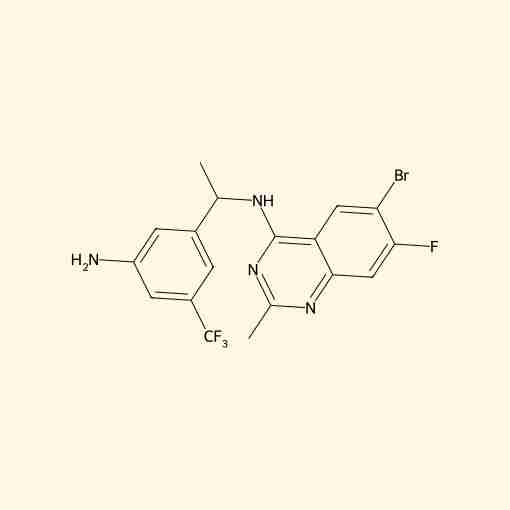 Cc1nc(NC(C)c2cc(N)cc(C(F)(F)F)c2)c2cc(Br)c(F)cc2n1